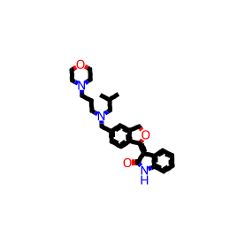 CC(C)CN(CCCN1CCOCC1)Cc1ccc2c(c1)COC2=C1C(=O)Nc2ccccc21